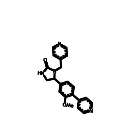 COc1cc(C2CNC(=O)N2Cc2ccncc2)ccc1-c1ccncc1